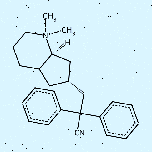 C[N+]1(C)CCCC2C[C@@H](CC(C#N)(c3ccccc3)c3ccccc3)C[C@@H]21